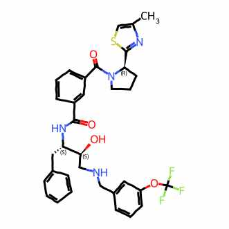 Cc1csc([C@H]2CCCN2C(=O)c2cccc(C(=O)N[C@@H](Cc3ccccc3)[C@@H](O)CNCc3cccc(OC(F)(F)F)c3)c2)n1